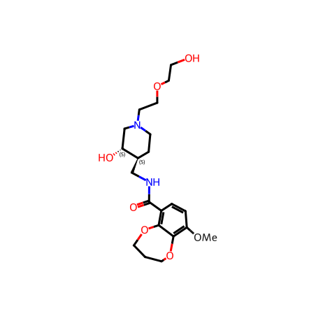 COc1ccc(C(=O)NC[C@@H]2CCN(CCOCCO)C[C@H]2O)c2c1OCCCO2